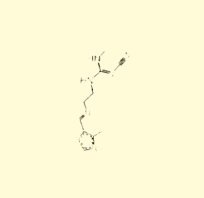 CNC(=NC#N)NCCN=Cc1nc[nH]c1C